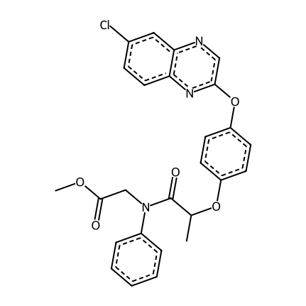 COC(=O)CN(C(=O)C(C)Oc1ccc(Oc2cnc3cc(Cl)ccc3n2)cc1)c1ccccc1